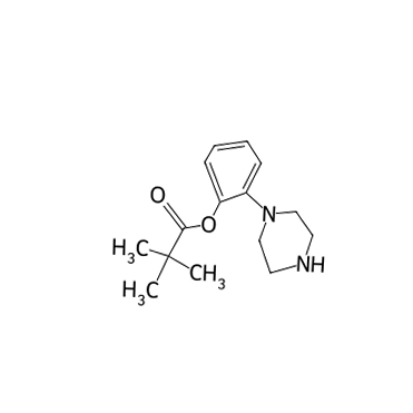 CC(C)(C)C(=O)Oc1ccccc1N1CCNCC1